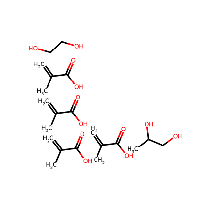 C=C(C)C(=O)O.C=C(C)C(=O)O.C=C(C)C(=O)O.C=C(C)C(=O)O.CC(O)CO.OCCO